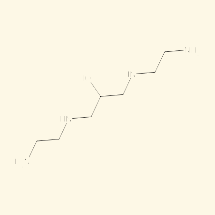 NCCNCC(O)CNCCN